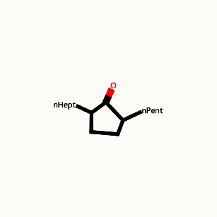 CCCCCCCC1CCC(CCCCC)C1=O